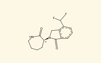 O=C1NCCCC[C@@H]1N1Cc2c(cccc2C(F)F)C1=O